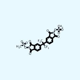 CS(=O)(=O)ON1C(=O)c2ccc(C(c3ccc4c(c3)C(=O)N(OS(C)(=O)=O)C4=O)(C(F)(F)F)C(F)(F)F)cc2C1=O